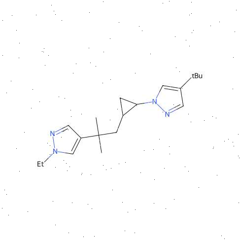 CCn1cc(C(C)(C)CC2CC2n2cc(C(C)(C)C)cn2)cn1